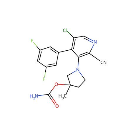 CC1(OC(N)=O)CCN(c2c(C#N)ncc(Cl)c2-c2cc(F)cc(F)c2)C1